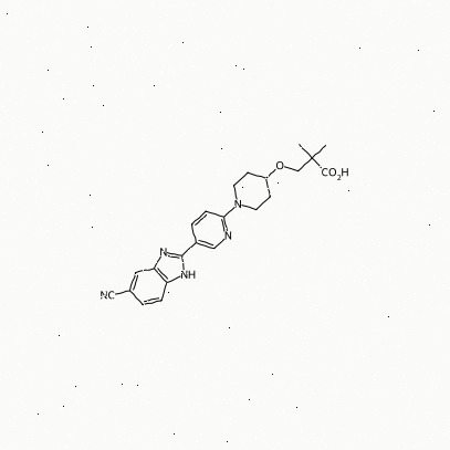 CC(C)(COC1CCN(c2ccc(-c3nc4cc(C#N)ccc4[nH]3)cn2)CC1)C(=O)O